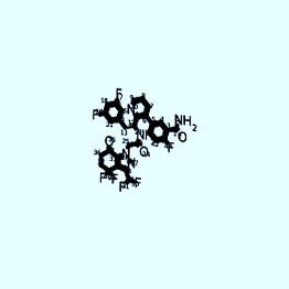 NC(=O)c1cc(-c2cccnc2[C@H](Cc2cc(F)cc(F)c2)NC(=O)Cn2nc(C(F)F)c3c2C(=O)CCC3(F)F)ccc1F